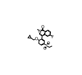 CCS(=O)(=O)C1=CCC(OCC2CC2)C(c2cn(C)c(=O)c3ccc(F)cc23)=C1